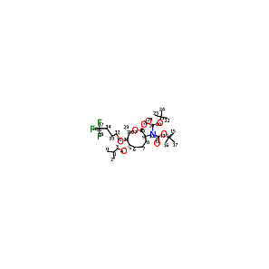 CC(C)CO[C@H]1CCC[C@H](N(C(=O)OC(C)(C)C)C(=O)OC(C)(C)C)C(=O)O[C@@H](C)[C@@H]1OCCCC(F)(F)F